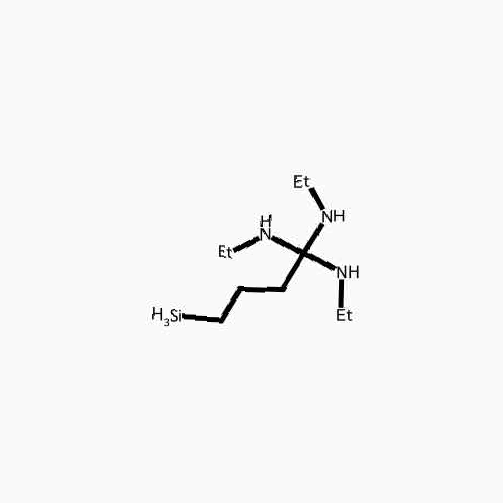 CCNC(CCC[SiH3])(NCC)NCC